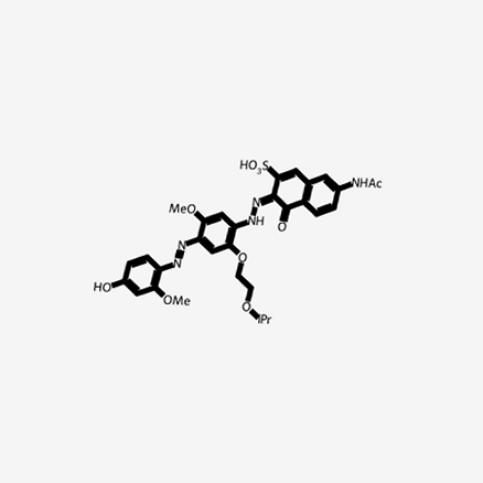 COc1cc(O)ccc1/N=N/c1cc(OCCOC(C)C)c(N/N=C2\C(=O)c3ccc(NC(C)=O)cc3C=C2S(=O)(=O)O)cc1OC